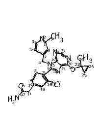 Cc1cc(Cn2c(-c3ccc(CC(N)=O)cc3Cl)nc3c(OC4(C)CC4)ncnc32)ccn1